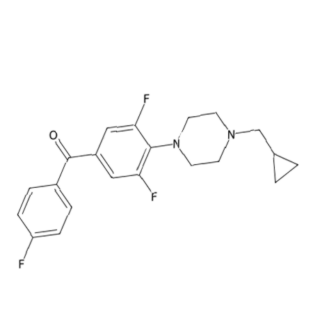 O=C(c1ccc(F)cc1)c1cc(F)c(N2CCN(CC3CC3)CC2)c(F)c1